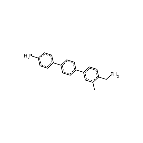 Cc1cc(-c2ccc(-c3ccc(P)cc3)cc2)ccc1CP